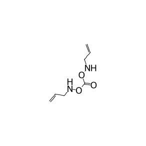 C=CCNOC(=O)ONCC=C